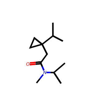 CC(C)N(C)C(=O)CC1(C(C)C)CC1